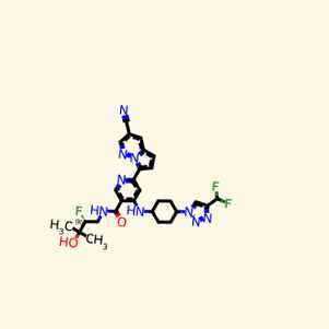 CC(C)(O)[C@H](F)CNC(=O)c1cnc(-c2ccc3cc(C#N)cnn23)cc1NC1CCC(n2cc(C(F)F)nn2)CC1